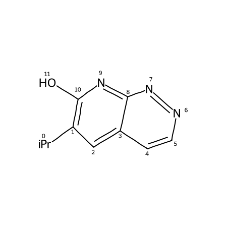 CC(C)c1cc2ccnnc2nc1O